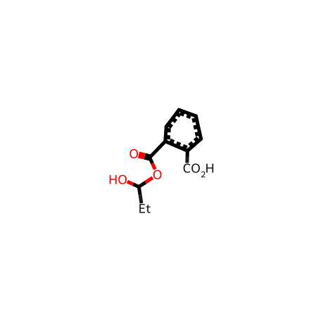 CCC(O)OC(=O)c1ccccc1C(=O)O